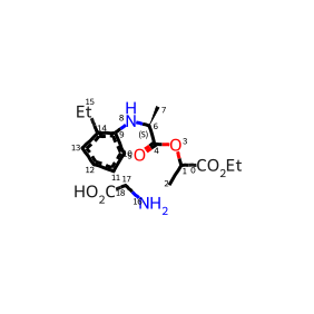 CCOC(=O)C(C)OC(=O)[C@H](C)Nc1ccccc1CC.NCC(=O)O